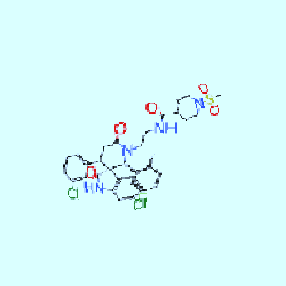 Cc1ccc(F)cc1[C@@H]1N(CCNC(=O)C2CCN(S(C)(=O)=O)CC2)C(=O)C[C@H](c2cccc(Cl)c2)[C@@]12C(=O)Nc1cc(Cl)ccc12